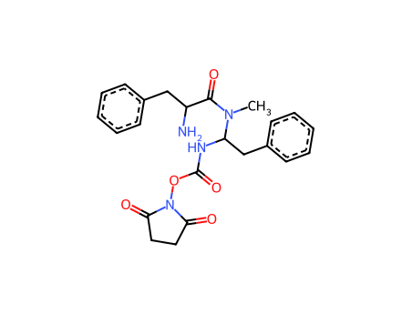 CN(C(=O)C(N)Cc1ccccc1)C(Cc1ccccc1)NC(=O)ON1C(=O)CCC1=O